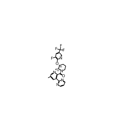 Cc1cnc(C(=O)N2CCC[C@@H](Oc3ncc(C(F)(F)F)cc3F)[C@@H]2C)c(-c2ncccn2)c1